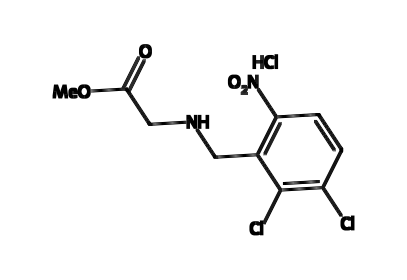 COC(=O)CNCc1c([N+](=O)[O-])ccc(Cl)c1Cl.Cl